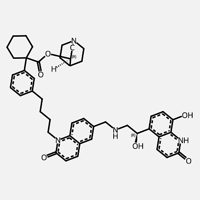 O=C(O[C@H]1CN2CCC1CC2)C1(c2cccc(CCCCn3c(=O)ccc4cc(CNC[C@H](O)c5ccc(O)c6[nH]c(=O)ccc56)ccc43)c2)CCCCC1